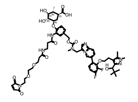 Cc1c(CCOc2c(-c3ccc4ncc(CN(C)C(=O)OCc5ccc(O[C@@H]6C[C@H](C(=O)O)[C@@H](C)[C@H](O)[C@H]6O)c(NC(=O)CCNC(=O)CCOCCOCCN6C(=O)C=CC6=O)c5)n4c3)ccc(F)c2F)c(C(O)C(C)(C)C)nn1C